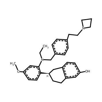 CCN(Cc1ccc(CCN2CCC2)cc1)c1cc(OC)ccc1[C@@H]1CCc2cc(O)ccc2C1